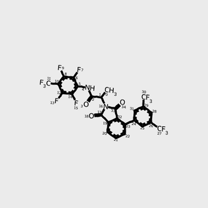 CC(C(=O)Nc1c(F)c(F)c(C(F)(F)F)c(F)c1F)N1C(=O)c2cccc(-c3cc(C(F)(F)F)cc(C(F)(F)F)c3)c2C1=O